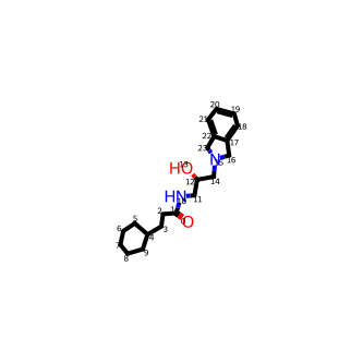 O=C(CCC1CCCCC1)NCC(O)CN1Cc2ccccc2C1